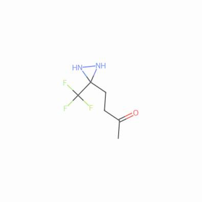 CC(=O)CCC1(C(F)(F)F)NN1